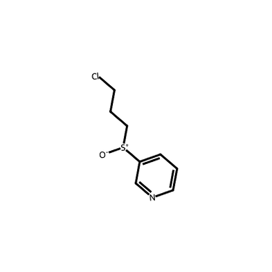 [O-][S+](CCCCl)c1cccnc1